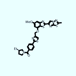 CC[C@@H]1CCN(C(=O)c2ccc(-c3nc(COc4cc(OC)cc5nc(-c6cn7nc(C)sc7n6)sc45)cs3)cc2)C1